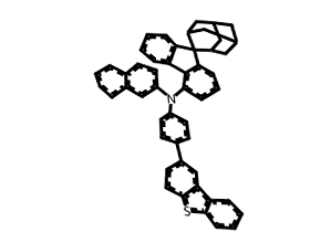 c1ccc2c(c1)-c1c(N(c3ccc(-c4ccc5sc6ccccc6c5c4)cc3)c3ccc4ccccc4c3)cccc1C21C2CC3CC(C2)CC1C3